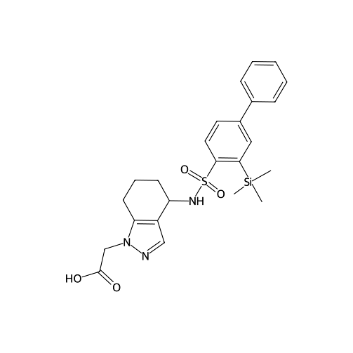 C[Si](C)(C)c1cc(-c2ccccc2)ccc1S(=O)(=O)NC1CCCc2c1cnn2CC(=O)O